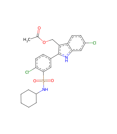 CC(=O)OCc1c(-c2ccc(Cl)c(S(=O)(=O)NC3CCCCC3)c2)[nH]c2cc(Cl)ccc12